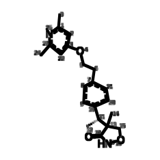 Cc1cc(OCCc2ccc([C@@H](C)C3(C)CONC3=O)cc2)cc(C)n1